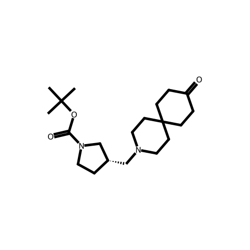 CC(C)(C)OC(=O)N1CC[C@@H](CN2CCC3(CCC(=O)CC3)CC2)C1